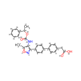 Cc1onc(-c2ccc(-c3ccc(CC(=O)O)cc3)cc2)c1NC(=O)OC(C)c1ccccc1